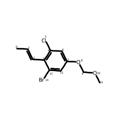 CC=Cc1c(Cl)cc(OCOC)cc1Br